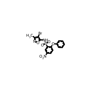 Cc1noc(NS(=O)(=O)c2cc([N+](=O)[O-])ccc2Oc2ccccc2)c1Br